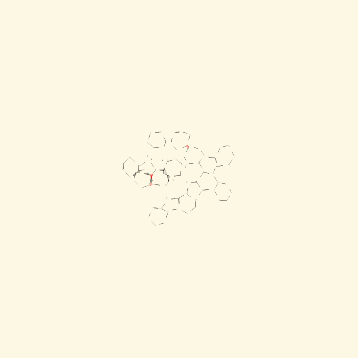 c1ccc(-c2nc(-c3ccccc3)nc(-n3c4c(c5ccccc5c5c6ccccc6c6ccccc6c54)c4ccc5c6ccccc6n(-c6ccc7c(c6)c6ccccc6n7-c6ccccc6)c5c43)n2)cc1